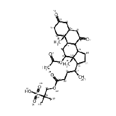 CC(=O)OC1CC2C(C(=O)CC3CC(=O)CCC32C)C2CCC(C(C)CCC(=O)OCC(F)(F)S(=O)(=O)O)C12C